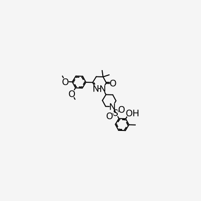 COc1ccc(C2=NN(C3CCN(S(=O)(=O)c4cccc(C)c4O)CC3)C(=O)C(C)(C)C2)cc1OC